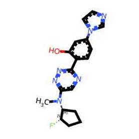 CN(c1cnc(-c2ccc(-n3ccnc3)cc2O)nn1)[C@@H]1CCC[C@@H]1F